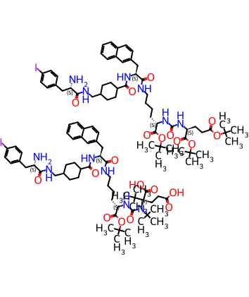 CC(C)(C)OC(=O)CC[C@H](NC(=O)N[C@@H](CCCCNC(=O)[C@H](Cc1ccc2ccccc2c1)NC(=O)C1CCC(CNC(=O)[C@@H](N)Cc2ccc(I)cc2)CC1)C(=O)OC(C)(C)C)C(=O)OC(C)(C)C.CC(C)(C)OC(=O)[C@H](CCCCNC(=O)[C@H](Cc1ccc2ccccc2c1)NC(=O)C1CCC(CNC(=O)[C@@H](N)Cc2ccc(I)cc2)CC1)NC(=O)N(C(C)(C)C)[C@@](CCC(=O)O)(C(=O)O)C(C)(C)C